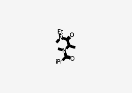 CCN(C)C(=O)C(C)N(C)C(=O)C(C)C